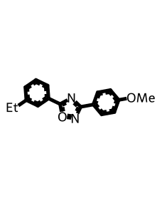 CCc1cccc(-c2nc(-c3ccc(OC)cc3)no2)c1